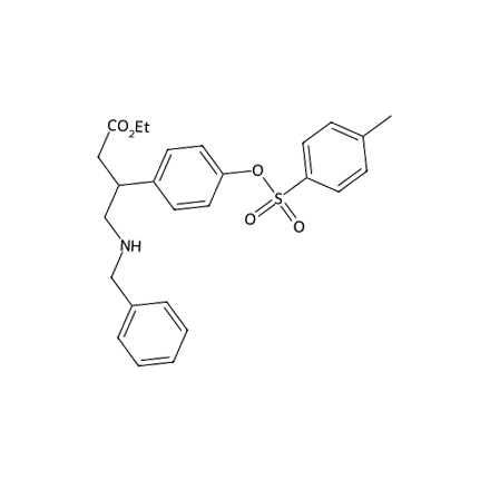 CCOC(=O)CC(CNCc1ccccc1)c1ccc(OS(=O)(=O)c2ccc(C)cc2)cc1